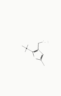 Cc1cc(CN)c(C(F)(F)F)o1